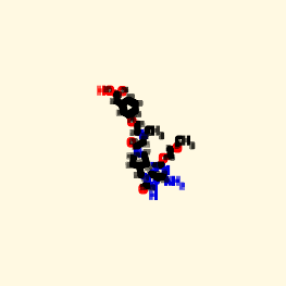 COCCOc1nc(N)c2[nH]c(=O)n(CC3CCN(C(=O)CN(C)CCOc4cccc(CC(=O)O)c4)CC3)c2n1